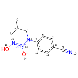 CC(C)CN(c1ccc(C#N)cc1)/[N+]([O-])=N/O